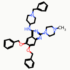 CN1CCN(c2nc(NC3CCN(Cc4ccccc4)CC3)c3cc(OCc4ccccc4)c(OCc4ccccc4)cc3n2)CC1